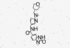 CN(CC1CCOCC1)c1ccc(CNC(=O)c2ccc3c(c2)[nH]c(=O)n3C)cn1